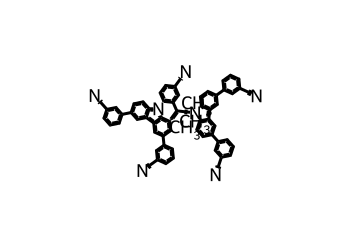 C/C=C(/c1cc(C#N)ccc1-n1c2ccc(-c3cccc(C#N)c3)cc2c2cc(-c3cccc(C#N)c3)ccc21)C(C)(C)n1c2ccc(-c3cccc(C#N)c3)cc2c2cc(-c3cccc(C#N)c3)ccc21